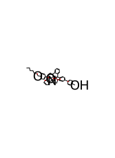 CCCCCCOc1ccc(C2(c3ccccc3N3CCC(C)CC3)C=Cc3c(cc(-c4ccc(-c5ccc(O)cc5)cc4)c4ccccc34)O2)cc1